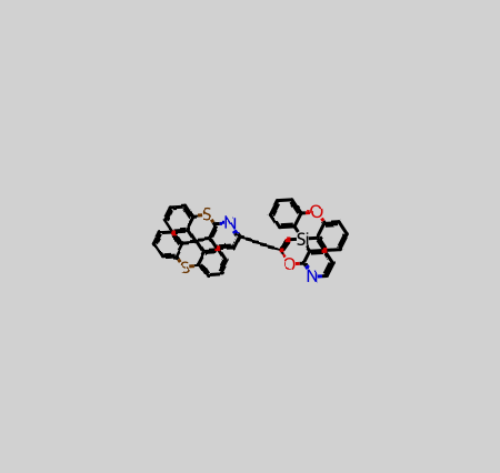 c1ccc2c(c1)Oc1ccccc1[Si]21c2ccc(-c3ccc4c(n3)Sc3ccccc3C43c4ccccc4Sc4ccccc43)cc2Oc2ncccc21